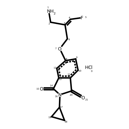 Cl.NC/C(=C/F)COc1ccc2c(c1)C(=O)N(C1CC1)C2=O